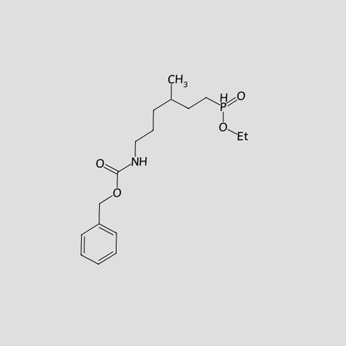 CCO[PH](=O)CCC(C)CCCNC(=O)OCc1ccccc1